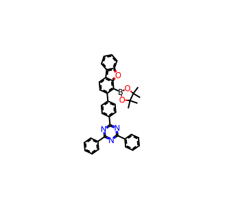 CC1(C)OB(c2c(-c3ccc(-c4nc(-c5ccccc5)nc(-c5ccccc5)n4)cc3)ccc3c2oc2ccccc23)OC1(C)C